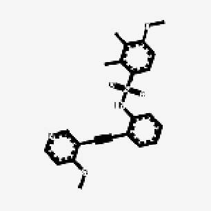 COc1ccncc1C#Cc1ccccc1NS(=O)(=O)c1ccc(OC)c(C)c1C